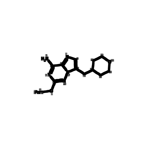 CCCC(C)Oc1nc(N)c2ncc(CC3CCOCC3)n2n1